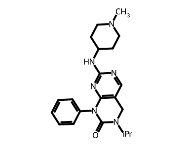 CC(C)N1Cc2cnc(NC3CCN(C)CC3)nc2N(c2ccccc2)C1=O